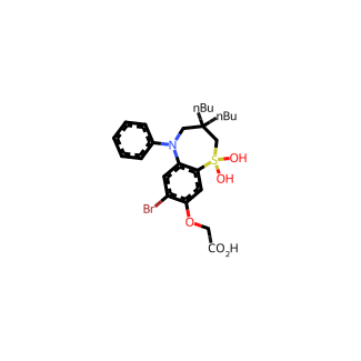 CCCCC1(CCCC)CN(c2ccccc2)c2cc(Br)c(OCC(=O)O)cc2S(O)(O)C1